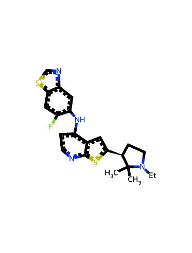 CCN1CC[C@H](c2cc3c(Nc4cc5ncsc5cc4F)ccnc3s2)C1(C)C